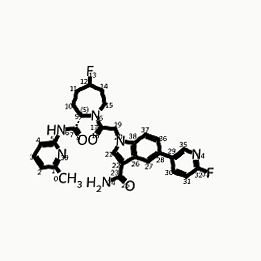 Cc1cccc(NC(=O)[C@@H]2CCC(F)CCN2C(=O)Cn2cc(C(N)=O)c3cc(-c4ccc(F)nc4)ccc32)n1